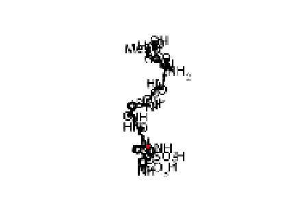 CSS[C@@H](C)OC1C[C@H](n2cc(C#CCNC(=O)COCCOC(COc3cccc(C(=O)NCCNC(=O)CCCN(C)C(=O)c4ccccc4-c4c5ccc(=N)c(S(=O)(=O)O)c-5oc5c(S(=O)(=O)O)c(N)ccc45)c3)N=[N+]=[N-])c(N)nc2=O)O[C@@H]1COP(=O)(O)O